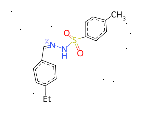 CCc1ccc(/C=N\NS(=O)(=O)c2ccc(C)cc2)cc1